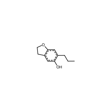 CCCc1cc2c(cc1O)CCO2